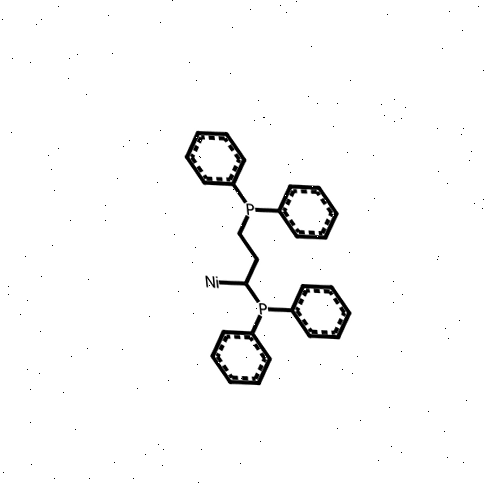 [Ni][CH](CCP(c1ccccc1)c1ccccc1)P(c1ccccc1)c1ccccc1